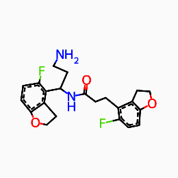 NCCC(NC(=O)CCc1c(F)ccc2c1CCO2)c1c(F)ccc2c1CCO2